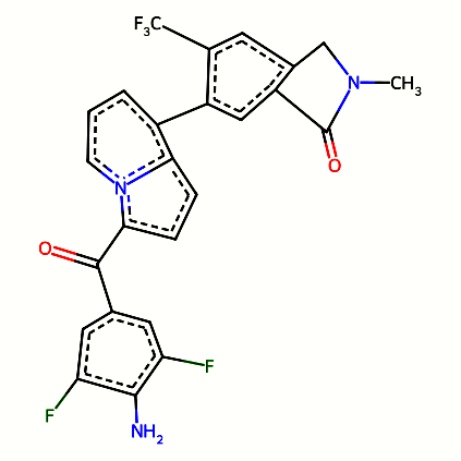 CN1Cc2cc(C(F)(F)F)c(-c3cccn4c(C(=O)c5cc(F)c(N)c(F)c5)ccc34)cc2C1=O